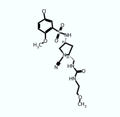 COCCNC(=O)NC[C@H]1C[C@@H](NS(=O)(=O)c2cc(Cl)ccc2OC)CN1C#N